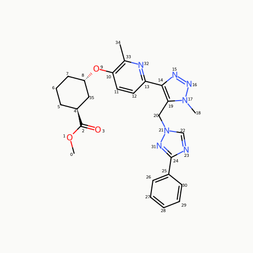 COC(=O)[C@H]1CCC[C@H](Oc2ccc(-c3nnn(C)c3Cn3cnc(-c4ccccc4)n3)nc2C)C1